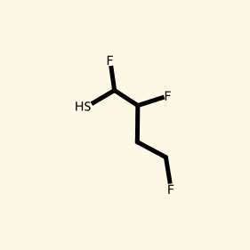 FCCC(F)C(F)S